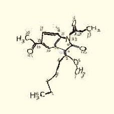 CCCCC/C(OC)=C1/C(=O)N(C(C)=O)c2ccc(C(C)=O)cc21